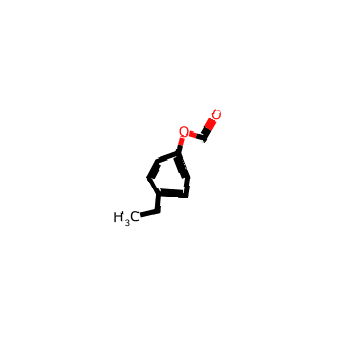 CCc1ccc(O[C]=O)cc1